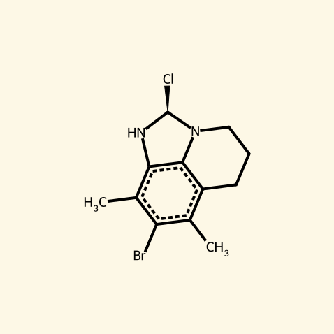 Cc1c(Br)c(C)c2c3c1CCCN3[C@H](Cl)N2